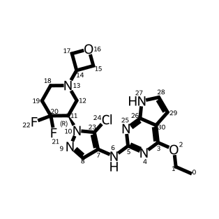 CCOc1nc(Nc2cnn([C@@H]3CN(C4COC4)CCC3(F)F)c2Cl)nc2[nH]ccc12